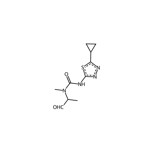 CC(C=O)N(C)C(=O)Nc1nnc(C2CC2)s1